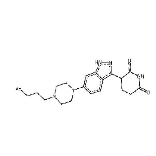 CC(=O)CCCN1CCC(c2ccc3c(C4CCC(=O)NC4=O)n[nH]c3c2)CC1